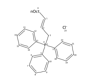 CCCCCCCCC=CC[P+](c1ccccc1)(c1ccccc1)c1ccccc1.[Cl-]